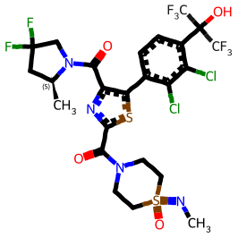 CN=S1(=O)CCN(C(=O)c2nc(C(=O)N3CC(F)(F)C[C@@H]3C)c(-c3ccc(C(O)(C(F)(F)F)C(F)(F)F)c(Cl)c3Cl)s2)CC1